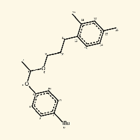 CCC(C)c1ccc(OC(C)OCCCc2ccc(C)cc2C)cc1